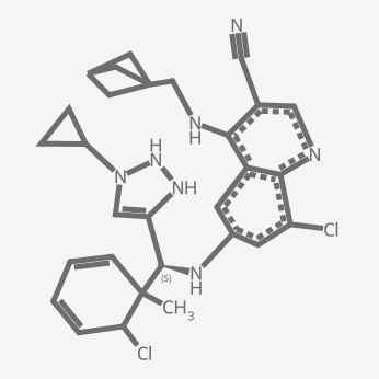 CC1([C@H](Nc2cc(Cl)c3ncc(C#N)c(NCC45CC(C4)C5)c3c2)C2=CN(C3CC3)NN2)C=CC=CC1Cl